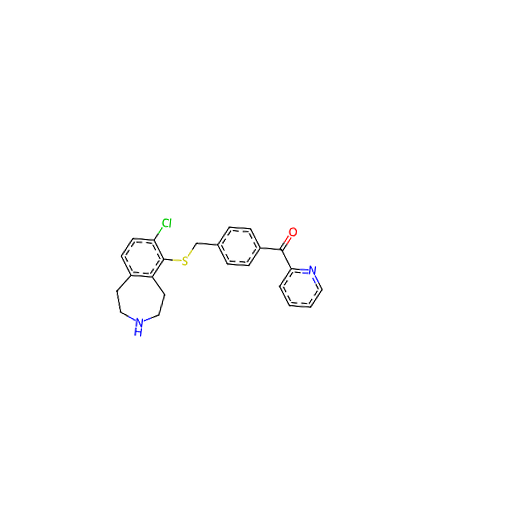 O=C(c1ccc(CSc2c(Cl)ccc3c2CCNCC3)cc1)c1ccccn1